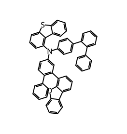 c1ccc(-c2ccccc2-c2ccc(N(c3ccc(-c4ccccc4)c(-c4cccc5c4oc4ccccc45)c3)c3cccc4sc5ccccc5c34)cc2)cc1